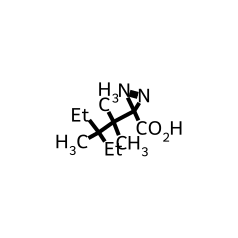 CCC(C)(CC)C(C)(C)C1(C(=O)O)N=N1